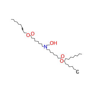 CCCCCCC#CCCOC(=O)CCCCCCCN(CCO)CCCCCCCC(=O)OC(CCCCCCCC)CCCCCCCC